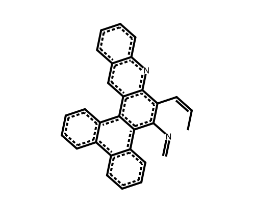 C=Nc1c(/C=C\C)c2nc3ccccc3cc2c2c3ccccc3c3ccccc3c12